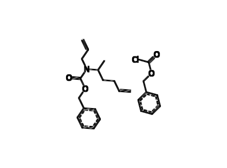 C=CCCC(C)N(CC=C)C(=O)OCc1ccccc1.O=C(Cl)OCc1ccccc1